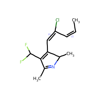 C/C=C\C(Cl)=C/C1=C(C(F)F)C(C)=NC1C